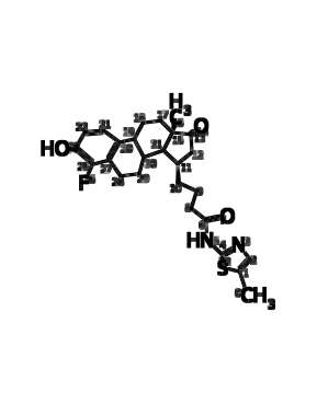 Cc1cnc(NC(=O)CCC[C@@H]2CC(=O)[C@@]3(C)CCC4c5ccc(O)c(F)c5CCC4C23)s1